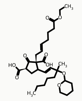 CCCCCC(C)(C=CC1C[C@@H](C(=O)O)C(=O)[C@]1(CC=CCCCC(=O)OCC)C(=O)O)OC1CCCCO1